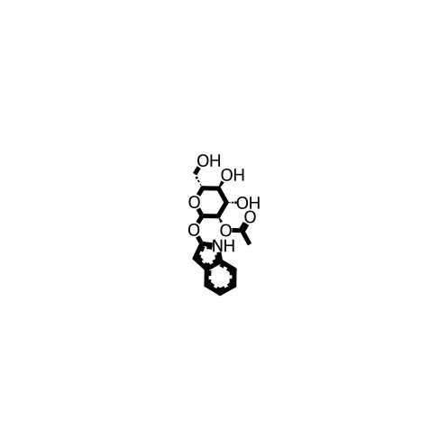 CC(=O)O[C@@H]1C(Oc2cc3ccccc3[nH]2)O[C@H](CO)[C@@H](O)[C@@H]1O